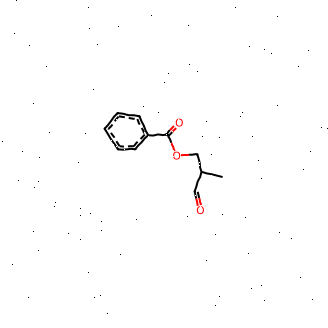 CC(C=O)COC(=O)c1ccccc1